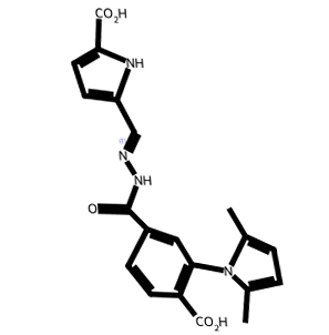 Cc1ccc(C)n1-c1cc(C(=O)N/N=C/c2ccc(C(=O)O)[nH]2)ccc1C(=O)O